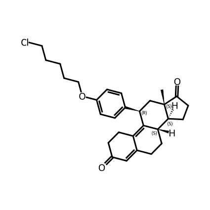 C[C@]12C[C@H](c3ccc(OCCCCCCl)cc3)C3=C4CCC(=O)C=C4CC[C@H]3[C@@H]1CCC2=O